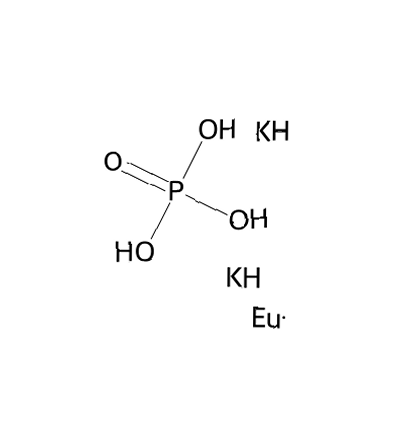 O=P(O)(O)O.[Eu].[KH].[KH]